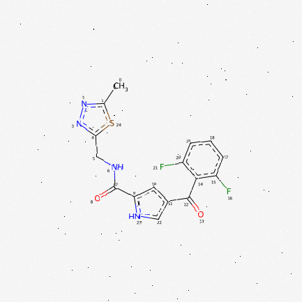 Cc1nnc(CNC(=O)c2cc(C(=O)c3c(F)cccc3F)c[nH]2)s1